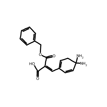 NC1(N)C=CC(C=C(C(=O)O)C(=O)OCc2ccccc2)=CC1